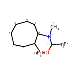 CCCC1CCCCCCC1N(C)C(O)CCC